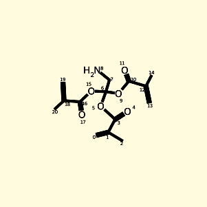 C=C(C)C(=O)OC(CN)(OC(=O)C(=C)C)OC(=O)C(=C)C